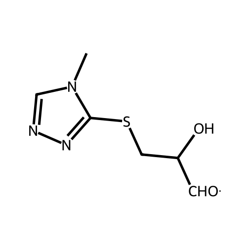 Cn1cnnc1SCC(O)[C]=O